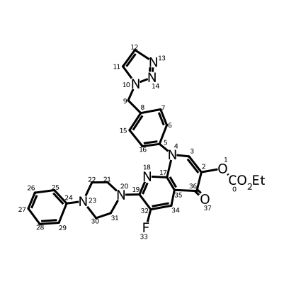 CCOC(=O)Oc1cn(-c2ccc(Cn3ccnn3)cc2)c2nc(N3CCN(c4ccccc4)CC3)c(F)cc2c1=O